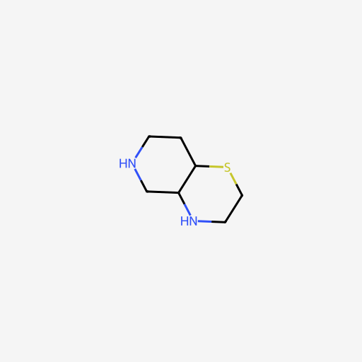 C1CC2SCCNC2CN1